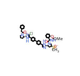 COC(=O)NC(C(=O)N1C[C@@H]([S+](C)[O-])C[C@H]1c1ncc(-c2ccc(-c3ccc(-c4[nH]c([C@@H]5CCCN5C(=O)Cc5ccccc5)nc4Cl)cc3)cc2)[nH]1)c1ccccc1